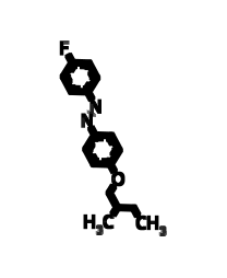 CCC(C)COc1ccc(/N=N/c2ccc(F)cc2)cc1